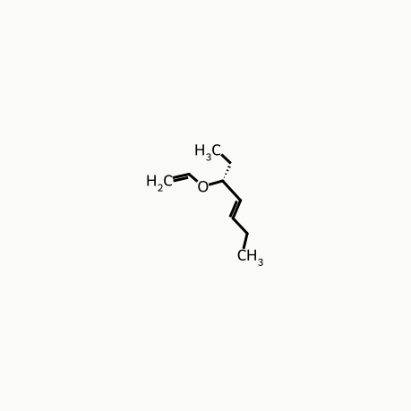 C=CO[C@@H](/C=C/CC)CC